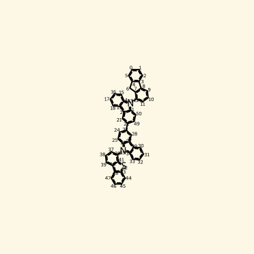 c1ccc2c(c1)Cc1c-2cccc1-n1c2ccccc2c2cc(-c3ccc4c(c3)c3ccccc3n4-c3cccc4c3sc3ccccc34)ccc21